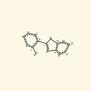 Fc1ccccc1C1=Cc2ccccc2C1